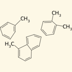 Cc1cccc2ccccc12.Cc1ccccc1.Cc1ccccc1C